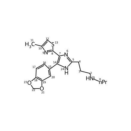 CCCNCCCc1nc(-c2nc(C)cs2)c(-c2ccc3c(c2)OCO3)[nH]1